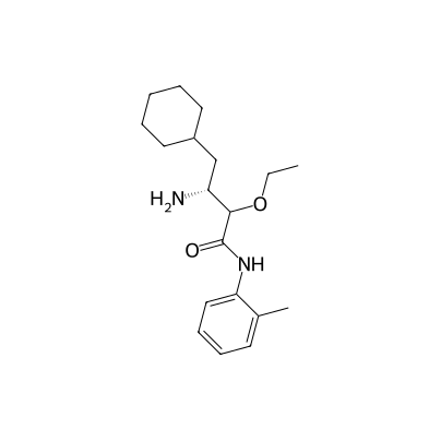 CCOC(C(=O)Nc1ccccc1C)[C@H](N)CC1CCCCC1